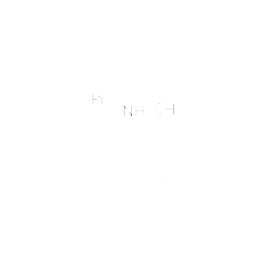 CC(C)CNCC(C)CCC1CC1